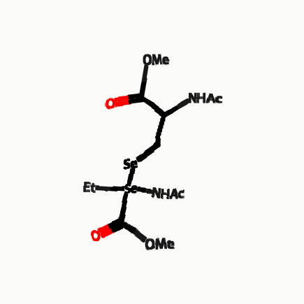 CC[Se](NC(C)=O)([Se]CC(NC(C)=O)C(=O)OC)C(=O)OC